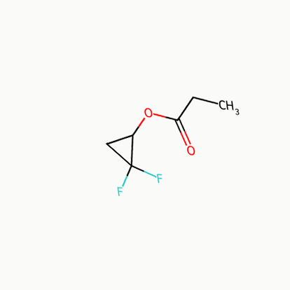 CCC(=O)OC1CC1(F)F